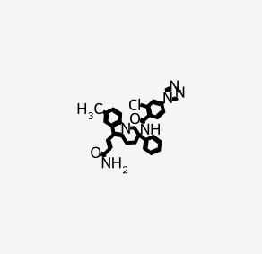 Cc1ccc2c(c1)c(/C=C/C(N)=O)c1n2C[C@@](NC(=O)c2ccc(-n3cnnc3)cc2Cl)(c2ccccc2)CC1